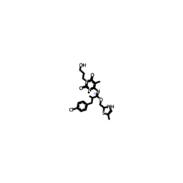 CC1=CNC(CO/C(=N/c2c(C)c(=O)n(CCCO)c(=O)n2C)C(C)Cc2ccc(Cl)cc2)S1